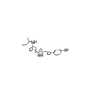 CCC(C)NC(=O)CSc1nnc(COc2ccc(Br)cc2)o1